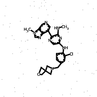 CNc1nc(Nc2ccc(CN3CC4(COC4)C3)cc2Cl)cnc1-c1cncc2c1ncn2C